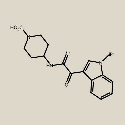 CC(C)n1cc(C(=O)C(=O)NC2CCN(C(=O)O)CC2)c2ccccc21